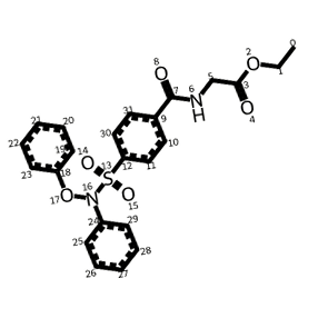 CCOC(=O)CNC(=O)c1ccc(S(=O)(=O)N(Oc2ccccc2)c2ccccc2)cc1